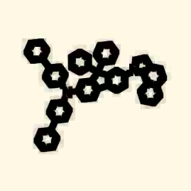 c1ccc(-c2ccc(N(c3ccc(-c4ccccc4)cc3)c3ccc4c(c3)C(c3ccccc3)(c3ccccc3)c3cc(-n5ccc6ccc7ccccc7c65)ccc3-4)cc2)cc1